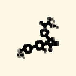 COc1ccc(-c2ccc(-n3c(C4CCN(C(=O)C(C)C)C4)n[nH]c3=O)c(F)c2)cc1